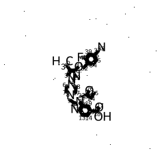 CCc1cn(N2CCN(Cc3nc4ccc(C(=O)O)cc4n3C[C@@H]3CCO3)CC2)nc1OCc1ccc(C#N)cc1F